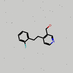 [O]Cc1cnccc1CCc1ccccc1F